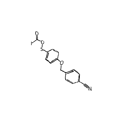 N#Cc1ccc(COc2ccc(SOC(=O)I)cc2)cc1